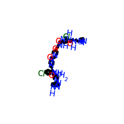 NC1(C(=O)N[C@@H](CCN2CCN(C(=O)CN3CCC(OCCNC(=O)c4ccc(NC(=O)CNCCn5ccnn5)c(Cl)n4)CC3)CC2)c2ccc(Cl)cc2)CCN(c2ncnc3[nH]ccc23)CC1